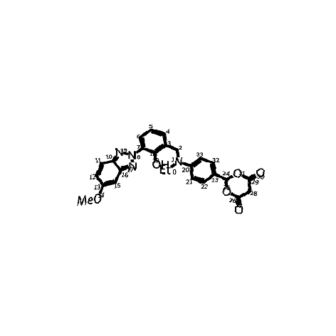 CCN(Cc1cccc(-n2nc3ccc(OC)cc3n2)c1O)c1ccc(C2OC(=O)CC(=O)O2)cc1